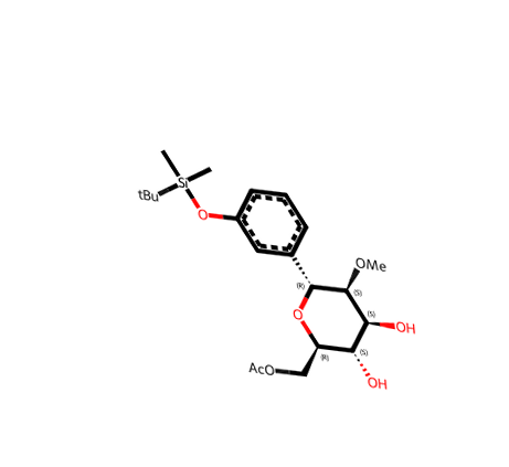 CO[C@H]1[C@@H](O)[C@H](O)[C@@H](COC(C)=O)O[C@@H]1c1cccc(O[Si](C)(C)C(C)(C)C)c1